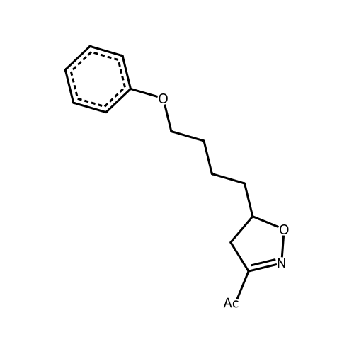 CC(=O)C1=NOC(CCCCOc2ccccc2)C1